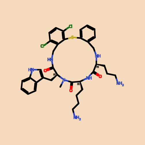 CN1C(=O)[C@H](CCCCN)NC(=O)[C@H](CCCN)NCc2ccccc2Sc2c(Cl)ccc(Cl)c2CNC(=O)[C@@H]1Cc1c[nH]c2ccccc12